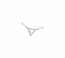 IC1=CC1I